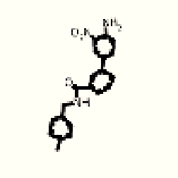 Cc1ccc(CNC(=O)c2cccc(-c3ccc(N)c([N+](=O)[O-])c3)c2)cc1